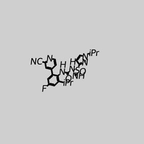 CC(C)c1cc(F)cc(-c2ccnc(C#N)c2)c1NC(=O)NS(=N)(=O)c1ccn(C(C)C)n1